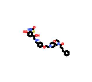 O=C(CCCc1ccccc1)N1CCOC2(CCN(CCOc3ccc(CNCC(O)c4ccc(O)c5[nH]c(=O)sc45)cc3)CC2)C1